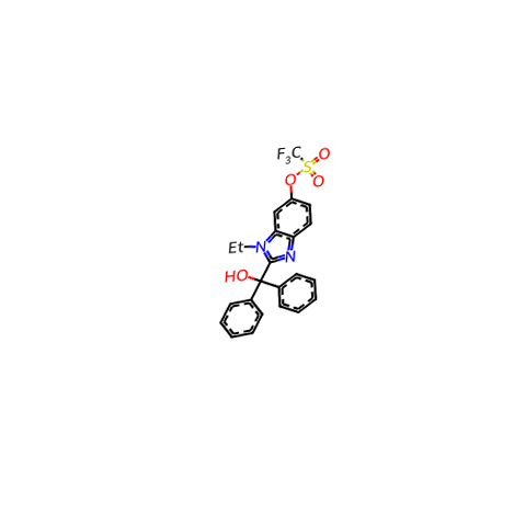 CCn1c(C(O)(c2ccccc2)c2ccccc2)nc2ccc(OS(=O)(=O)C(F)(F)F)cc21